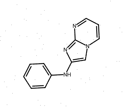 c1ccc(Nc2cn3cccnc3n2)cc1